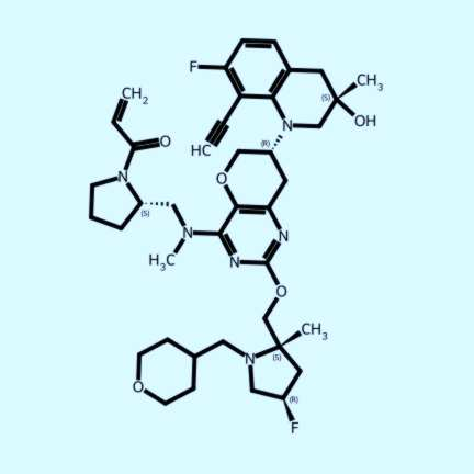 C#Cc1c(F)ccc2c1N([C@H]1COc3c(nc(OC[C@]4(C)C[C@@H](F)CN4CC4CCOCC4)nc3N(C)C[C@@H]3CCCN3C(=O)C=C)C1)C[C@@](C)(O)C2